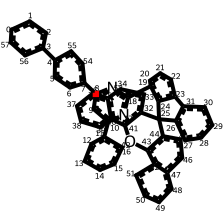 c1ccc(-c2ccc(-c3cc(-c4ccccc4)nc(-c4cccc5c4C4(c6ccccc6-5)c5ccc6ccccc6c5Oc5c4ccc4ccccc54)n3)cc2)cc1